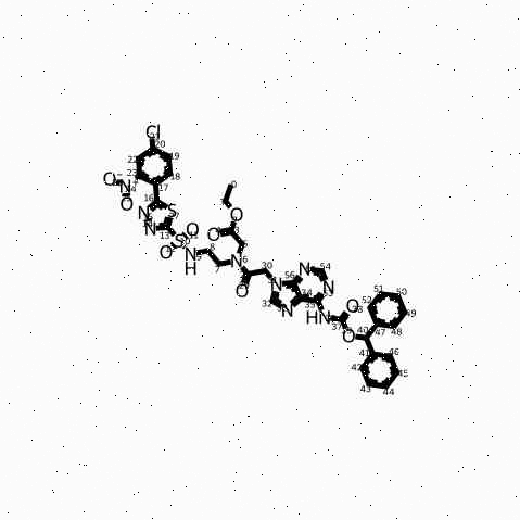 CCOC(=O)CN(CCNS(=O)(=O)c1nnc(-c2ccc(Cl)cc2[N+](=O)[O-])s1)C(=O)Cn1cnc2c(NC(=O)OC(c3ccccc3)c3ccccc3)ncnc21